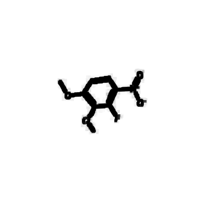 COc1ccc([N+](=O)[O-])c(F)c1OC